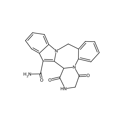 NC(=O)c1c2n(c3ccccc13)Cc1ccccc1N1C(=O)CNC(=O)C21